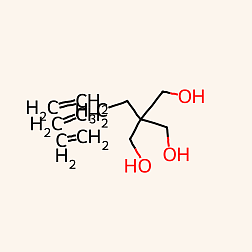 C=C.C=C.C=C.CCC(CO)(CO)CO